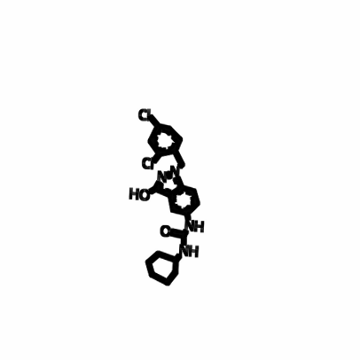 O=C(Nc1ccc2c(c1)c(O)nn2Cc1ccc(Cl)cc1Cl)NC1CCCCC1